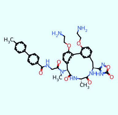 Cc1ccc(-c2ccc(C(=O)NCC(=O)N(C)[C@@H]3C(=O)N[C@@H](C)C(=O)N[C@H](c4noc(=O)[nH]4)Cc4ccc(OCCN)c(c4)-c4cc3ccc4OCCN)cc2)cc1